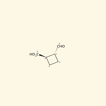 O=C[C@@H]1CC[C@H]1C(=O)O